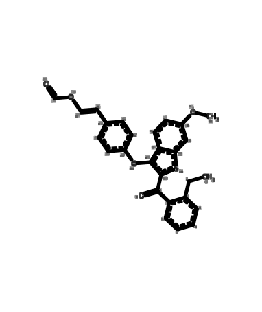 CCc1ccccc1C(=O)c1sc2cc(OC)ccc2c1Oc1ccc(/C=C/OC=O)cc1